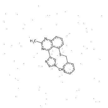 Cc1nc(-c2cn(C)cn2)c2c(SCc3ccccc3)cccc2n1